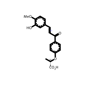 COc1ccc(/C=C/C(=O)c2ccc(O[C@@H](C)C(=O)O)cc2)cc1O